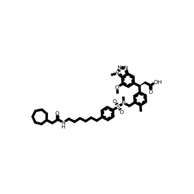 COc1cc([C@@H](CC(=O)O)c2ccc(C)c(CN(C)S(=O)(=O)c3ccc(CCCCCCNC(=O)CC4CCCCCC4)cc3)c2)cc2nnn(C)c12